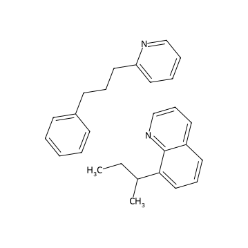 CCC(C)c1cccc2cccnc12.c1ccc(CCCc2ccccn2)cc1